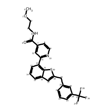 COCCNC(=O)c1ccnc(-c2cccc3cc(Cc4cccc(C(F)(F)F)c4)sc23)c1